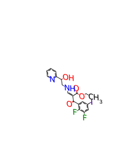 CCOC(=O)C(=CNCC(O)c1ccccn1)C(=O)c1cc(I)cc(F)c1F